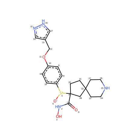 O=C(NO)C1([S+]([O-])c2ccc(OCc3cn[nH]c3)cc2)CCC2(CCNCC2)C1